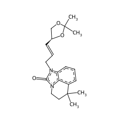 CC1(C)OC[C@H](/C=C/Cn2c(=O)n3c4c(cccc42)C(C)(C)CC3)O1